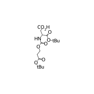 CC(C)(C)OC(=O)CCOC(=O)NC(CC(=O)O)C(=O)OC(C)(C)C